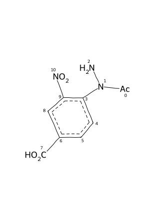 CC(=O)N(N)c1ccc(C(=O)O)cc1[N+](=O)[O-]